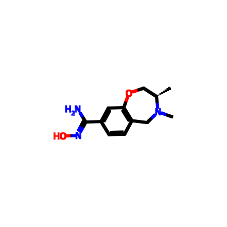 C[C@H]1COc2cc(C(N)=NO)ccc2CN1C